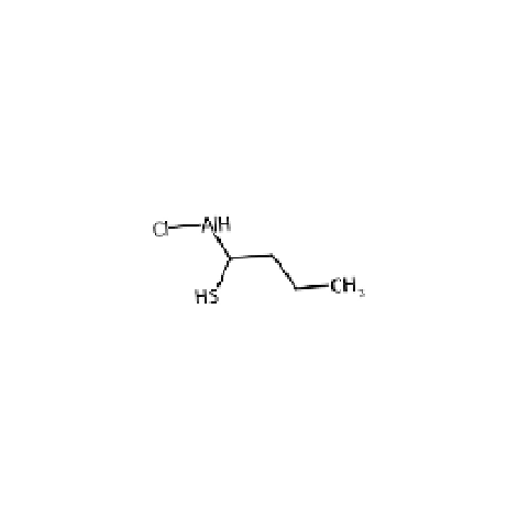 CCC[CH](S)[AlH][Cl]